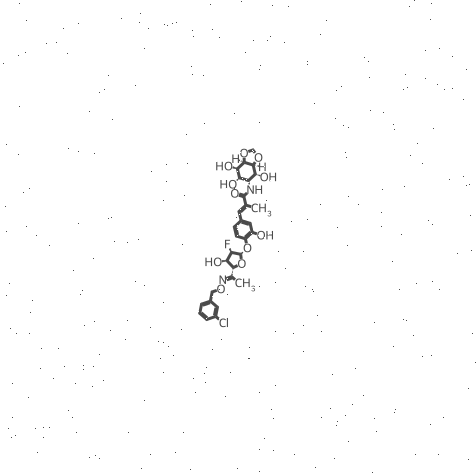 C/C(=C\c1ccc(O[C@@H]2O[C@H](/C(C)=N/OCc3cccc(Cl)c3)[C@@H](O)[C@H]2F)c(O)c1)C(=O)N[C@@H]1[C@H](O)[C@@H](O)[C@H]2OCO[C@H]2[C@@H]1O